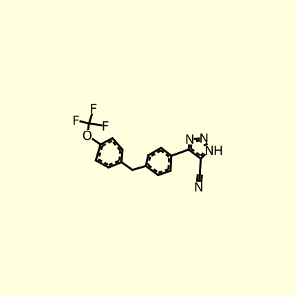 N#Cc1[nH]nnc1-c1ccc(Cc2ccc(OC(F)(F)F)cc2)cc1